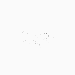 CC(=O)OCC1OC(Sc2cc(Cl)c(Cl)cc2Cl)C(OC(C)=O)C(N)C1OC=O